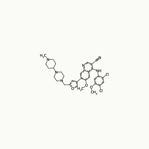 COc1cc(Nc2c(C#N)cnc3cc(-c4coc(CN5CCN(C6CCN(C)CC6)CC5)c4)c(OC)cc23)c(Cl)cc1Cl